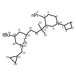 CCCC1CCN(C2CCC2)CC1C(C)(C)CCC1CC(C(C)(C)C)CN(CC2CC2)C1